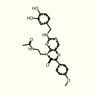 COc1ccc(-c2nc3cnc(NCc4ccc(O)c(O)c4)nc3n(CCNC(C)=O)c2=O)cc1